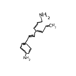 C=C/C=C(\C=C/CN)/C=C/c1ccc(N)cc1